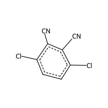 N#Cc1c(Cl)ccc(Cl)c1C#N